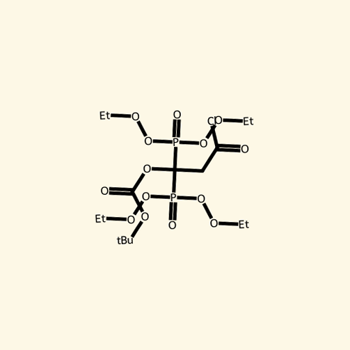 CCOOP(=O)(OOCC)C(CC(=O)Cl)(OC(=O)OC(C)(C)C)P(=O)(OOCC)OOCC